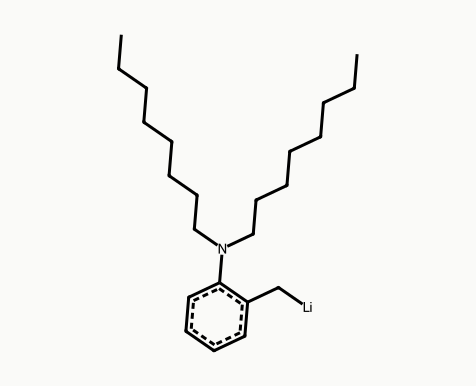 [Li][CH2]c1ccccc1N(CCCCCCCC)CCCCCCCC